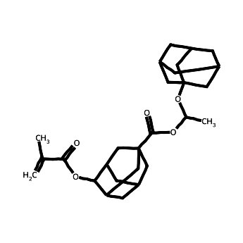 C=C(C)C(=O)OC1C2CC3CC1CC(C(=O)OC(C)OC14CC5CC(CC(C5)C1)C4)(C3)C2